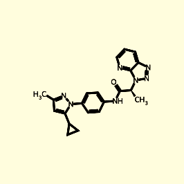 Cc1cc(C2CC2)n(-c2ccc(NC(=O)[C@H](C)n3nnc4cccnc43)cc2)n1